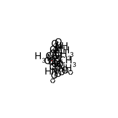 CC1C[C@@H]2OC(O[C@H]3OC4COC(=O)N[C@H]4[C@H](C)C3C)C3C(OC(=O)N3C)C2O[C@@H]1O[C@@H]1C(NC(=O)OCc2ccccc2)C[C@@H](NC(=O)OCc2ccccc2)C2OC3(CCCCC3)O[C@H]21